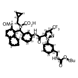 COc1ccc2ccccc2c1C(c1cccc(NC(=O)c2cc(C(F)(F)F)nn2-c2cccc(CNC(=O)OC(C)(C)C)c2)c1)N(CC1CC1)C(=O)O